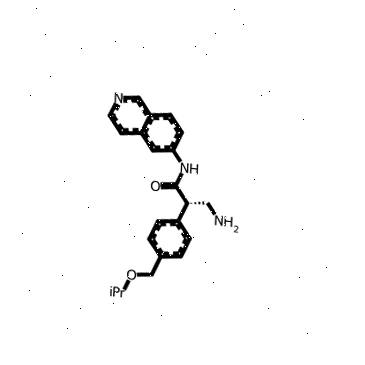 CC(C)OCc1ccc([C@@H](CN)C(=O)Nc2ccc3cnccc3c2)cc1